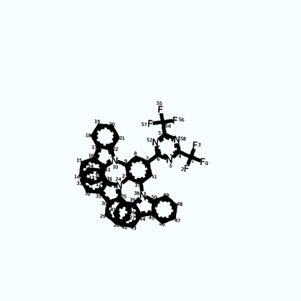 FC(F)(F)c1nc(-c2cc(-n3c4ccccc4c4ccccc43)c(-n3c4ccccc4c4ccccc43)c(-n3c4ccccc4c4ccccc43)c2)nc(C(F)(F)F)n1